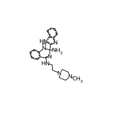 CN1CCN(CCNC2=NC(N)(c3nc4ccccc4[nH]3)Nc3ccccc32)CC1